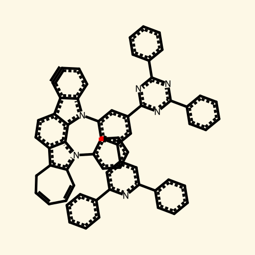 c1ccc2c(c#1)c1ccc3c4c(n(-c5ccccc5)c3c1n2-c1cc(-c2cc(-c3ccccc3)nc(-c3ccccc3)c2)cc(-c2nc(-c3ccccc3)nc(-c3ccccc3)n2)c1)C=CC=CC4